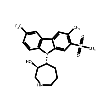 CS(=O)(=O)c1cc2c(cc1C(F)(F)F)c1cc(C(F)(F)F)ccc1n2[C@@H]1CCCNC[C@H]1O